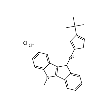 Cn1c2c(c3ccccc31)[CH]([Zr+2][C]1=CC(C(C)(C)C)=CC1)c1ccccc1-2.[Cl-].[Cl-]